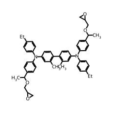 CCc1ccc(N(c2ccc(C(C)OCC3CO3)cc2)c2ccc(-c3ccc(N(c4ccc(CC)cc4)c4ccc(C(C)OCC5CO5)cc4)cc3C)c(C)c2)cc1